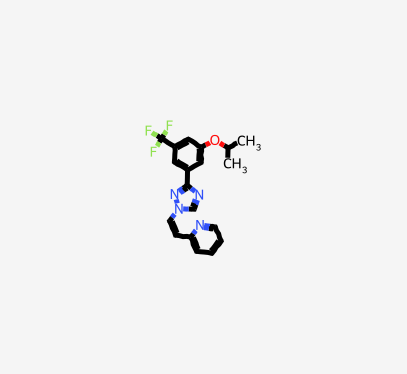 CC(C)Oc1cc(-c2ncn(/C=C\c3ccccn3)n2)cc(C(F)(F)F)c1